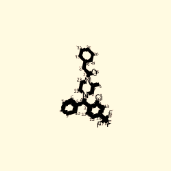 CC1CN(C(c2ccccc2)c2ccc(C(F)(F)F)cc2Cl)CCN1C(=O)CC1CCCCC1